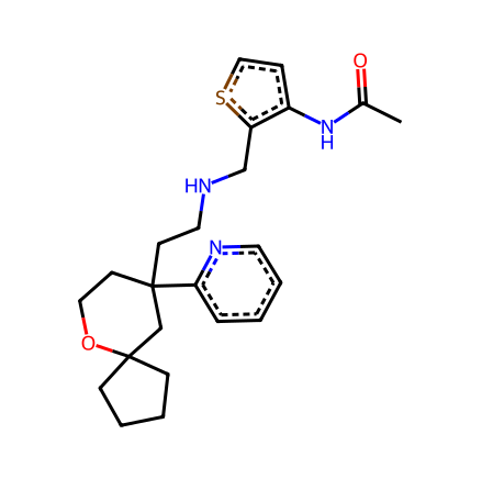 CC(=O)Nc1ccsc1CNCCC1(c2ccccn2)CCOC2(CCCC2)C1